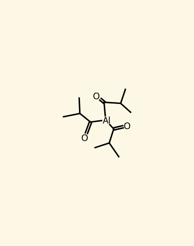 CC(C)[C](=O)[Al]([C](=O)C(C)C)[C](=O)C(C)C